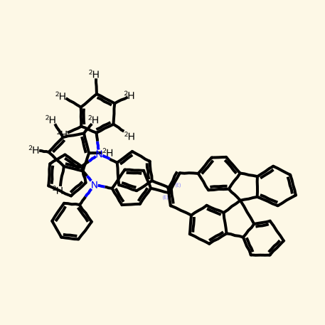 [2H]c1c([2H])c([2H])c(N(c2ccccc2)c2ccc(/C=C/c3ccc4c(c3)C3(c5ccccc5-4)c4ccccc4-c4ccc(/C=C/c5ccc(N(c6ccccc6)c6c([2H])c([2H])c([2H])c([2H])c6[2H])cc5)cc43)cc2)c([2H])c1[2H]